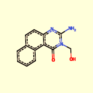 Nc1nc2ccc3ccccc3c2c(=O)n1CO